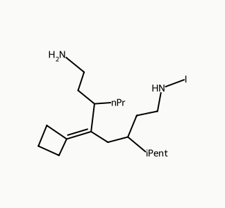 CCCC(CCN)C(CC(CCNI)C(C)CCC)=C1CCC1